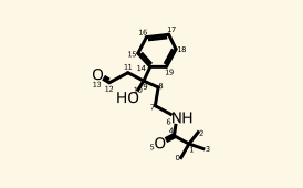 CC(C)(C)C(=O)NCCC(O)(CC=O)c1ccccc1